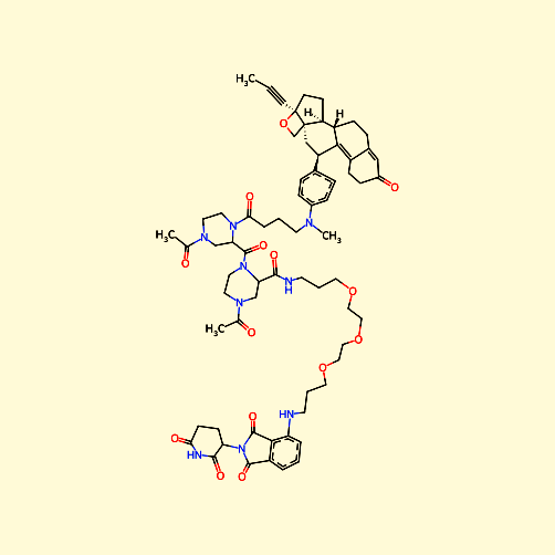 CC#C[C@]12CC[C@H]3[C@@H]4CCC5=CC(=O)CCC5=C4[C@@H](c4ccc(N(C)CCCC(=O)N5CCN(C(C)=O)CC5C(=O)N5CCN(C(C)=O)CC5C(=O)NCCCOCCOCCOCCCNc5cccc6c5C(=O)N(C5CCC(=O)NC5=O)C6=O)cc4)C[C@@]31CO2